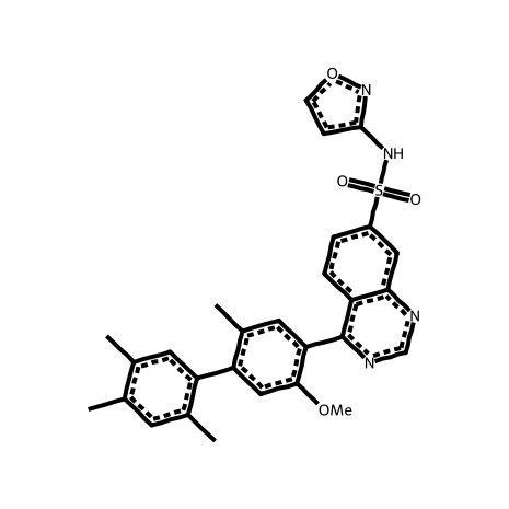 COc1cc(-c2cc(C)c(C)cc2C)c(C)cc1-c1ncnc2cc(S(=O)(=O)Nc3ccon3)ccc12